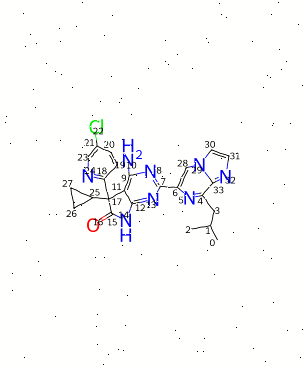 CC(C)Cc1nc(-c2nc(N)c3c(n2)NC(=O)C3(c2ccc(Cl)cn2)C2CC2)cn2ccnc12